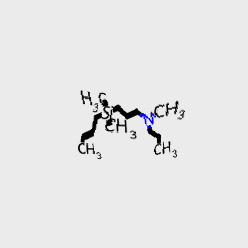 CC=CC[Si](C)(C)CCCN(C)CCC